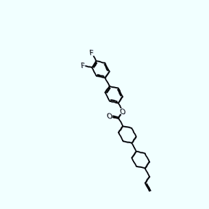 C=CCC1CCC(C2CCC(C(=O)Oc3ccc(-c4ccc(F)c(F)c4)cc3)CC2)CC1